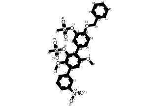 COc1cc(-c2cccc([N+](=O)[O-])c2)c(OC)c(OS(C)(=O)=O)c1-c1ccc(OCc2ccccc2)c(OS(C)(=O)=O)c1